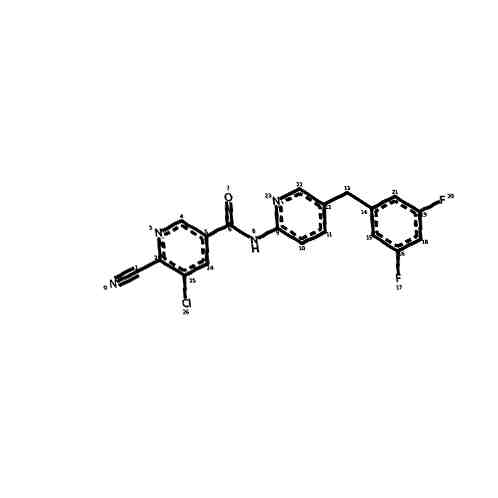 N#Cc1ncc(C(=O)Nc2ccc(Cc3cc(F)cc(F)c3)cn2)cc1Cl